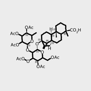 C=C1C[C@@]23CCC4[C@](C)(C(=O)O)CCC[C@@]4(C)[C@@H]2CC[C@]1(O[C@@H]1OC(COC(C)=O)[C@@H](OC(C)=O)C(OOC(C)=O)C1O[C@@H]1OC(C)[C@H](OC(C)=O)C(OC(C)=O)C1OC(C)=O)[C@@H]3C